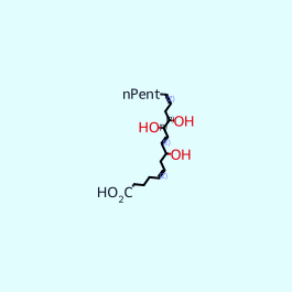 CCCCC/C=C\C[C@@H](O)[C@H](O)/C=C/C(O)C/C=C\CCCC(=O)O